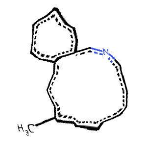 Cc1cccccnc2ccccc2c1